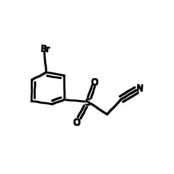 N#CCS(=O)(=O)c1cccc(Br)c1